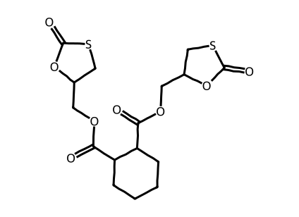 O=C1OC(COC(=O)C2CCCCC2C(=O)OCC2CSC(=O)O2)CS1